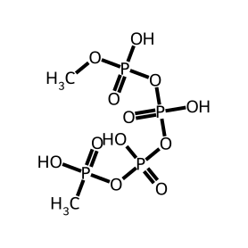 COP(=O)(O)OP(=O)(O)OP(=O)(O)OP(C)(=O)O